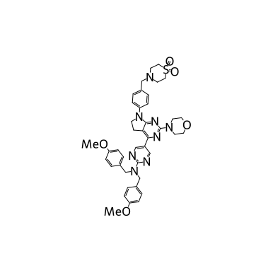 COc1ccc(CN(Cc2ccc(OC)cc2)c2ncc(-c3nc(N4CCOCC4)nc4c3CCN4c3ccc(CN4CCS(=O)(=O)CC4)cc3)cn2)cc1